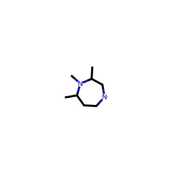 CC1CC[N]CC(C)N1C